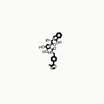 Cc1ncsc1-c1ccc(CNC(=O)[C@@H]2[C@@H](O)[C@@H](O)CN2C(=O)[C@H](C(C)C)N2Cc3ccccc3C2O)cc1